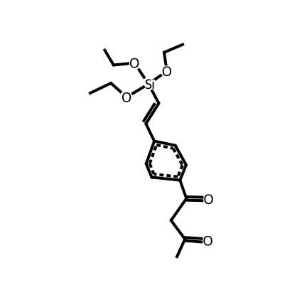 CCO[Si](C=Cc1ccc(C(=O)CC(C)=O)cc1)(OCC)OCC